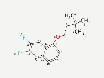 CC(C)(C)CCOc1cccc2cc(F)c(F)cc12